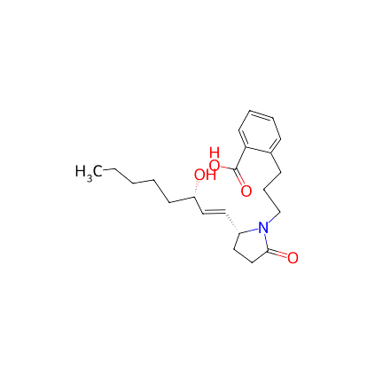 CCCCC[C@H](O)C=C[C@H]1CCC(=O)N1CCCc1ccccc1C(=O)O